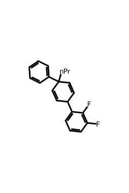 CCCC1(c2ccccc2)C=CC(c2cccc(F)c2F)C=C1